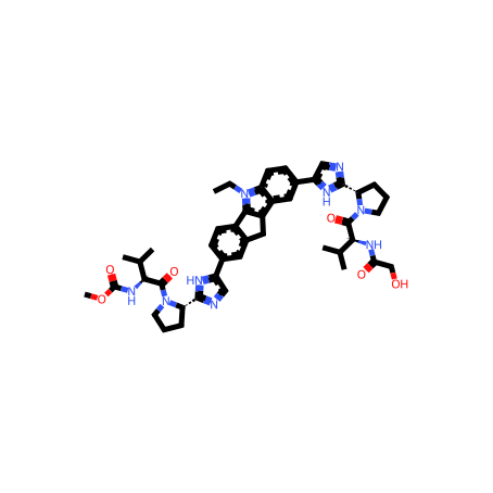 CCn1c2c(c3cc(-c4cnc([C@@H]5CCCN5C(=O)[C@@H](NC(=O)CO)C(C)C)[nH]4)ccc31)Cc1cc(-c3cnc([C@@H]4CCCN4C(=O)[C@@H](NC(=O)OC)C(C)C)[nH]3)ccc1-2